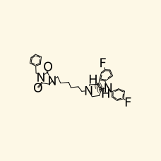 O=C1CN(CCCCCCN2CC[C@@H]3[C@@H](C2)c2cc(F)ccc2N3c2ccc(F)cc2)C(=O)N1Cc1ccccc1